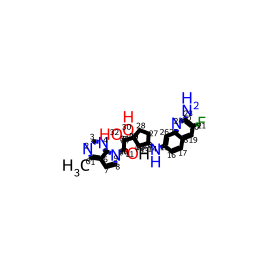 Cc1ncnc2c1ccn2[C@@H]1O[C@@H]2[C@@H](Nc3ccc4cc(F)c(N)nc4c3)CC[C@]2(O)[C@H]1O